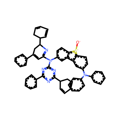 [O-][s+]1c2ccc(N(C3=NC(C4C=CC=CC4)CC(c4ccccc4)=C3)c3nc(-c4ccccc4)nc(C4C=CC=CC4)n3)cc2c2cc(N(c3ccccc3)c3ccccc3)ccc21